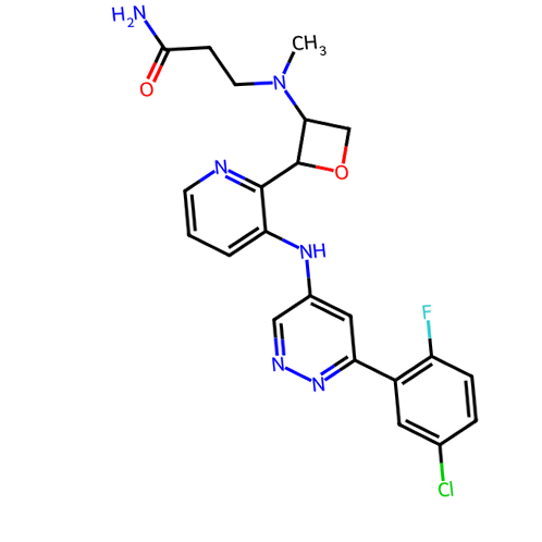 CN(CCC(N)=O)C1COC1c1ncccc1Nc1cnnc(-c2cc(Cl)ccc2F)c1